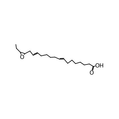 CCC1OC1CC=CCCCCC=CCCCCCCC(=O)O